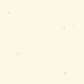 CCn1cc(CCO)c2c(OC)cc(F)cc21